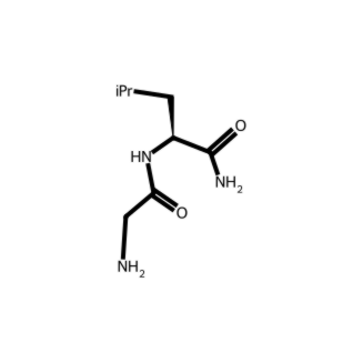 CC(C)C[C@H](NC(=O)CN)C(N)=O